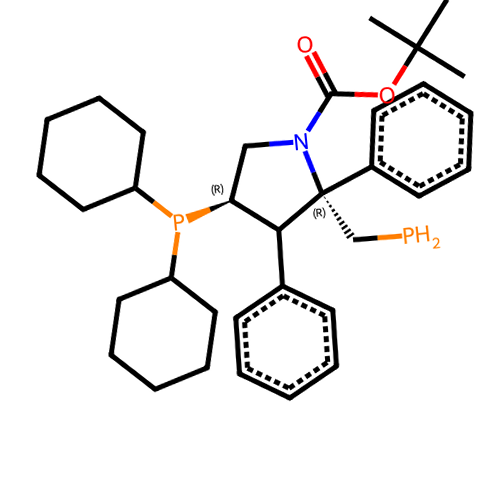 CC(C)(C)OC(=O)N1C[C@H](P(C2CCCCC2)C2CCCCC2)C(c2ccccc2)[C@]1(CP)c1ccccc1